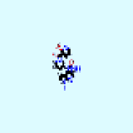 COc1ncccc1C(=O)N1CCC[C@@H](n2c(=O)[nH]c3cnc4[nH]ccc4c32)C1